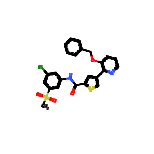 CS(=O)(=O)c1cc(Cl)cc(NC(=O)c2cc(-c3ncccc3OCc3ccccc3)cs2)c1